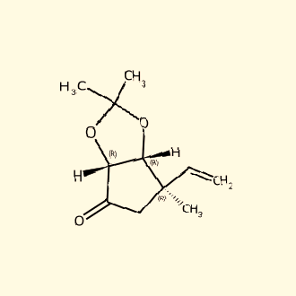 C=C[C@@]1(C)CC(=O)[C@@H]2OC(C)(C)O[C@@H]21